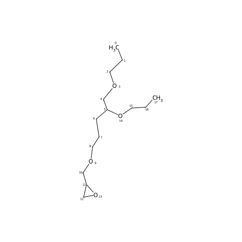 CCCO[CH]C(CCCOCC1CO1)OCCC